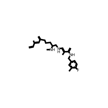 C=C/C(C)=C/C(=C)CCCC(CN/C=C(\C)C(=C)NCc1ccc(F)c(C)c1)NC